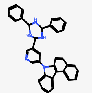 c1ccc(C2NC(c3ccccc3)NC(c3cncc(-n4c5ccccc5c5c6ccccc6ccc54)c3)N2)cc1